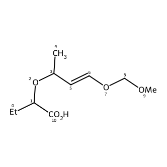 CCC(OC(C)C=COCOC)C(=O)O